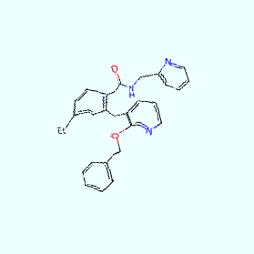 CCc1ccc(C(=O)NCc2ccccn2)c(-c2cccnc2OCc2ccccc2)c1